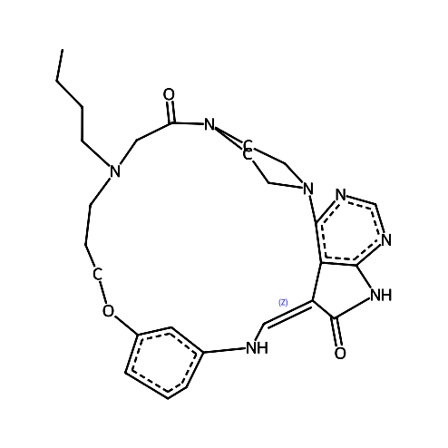 CCCCN1CCCOc2cccc(c2)N/C=C2\C(=O)Nc3ncnc(c32)N2CCN(CC2)C(=O)C1